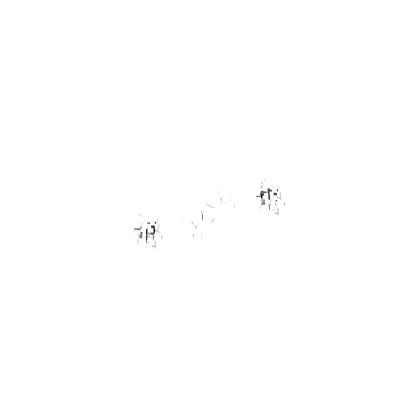 C[SiH]1O[SiH](C)O[Si](C)(CCCOC(=O)c2ccc(C(=O)OCCC[Si]3(C)O[SiH](C)O[SiH](C)O[SiH](C)O3)cc2)O[SiH](C)O1